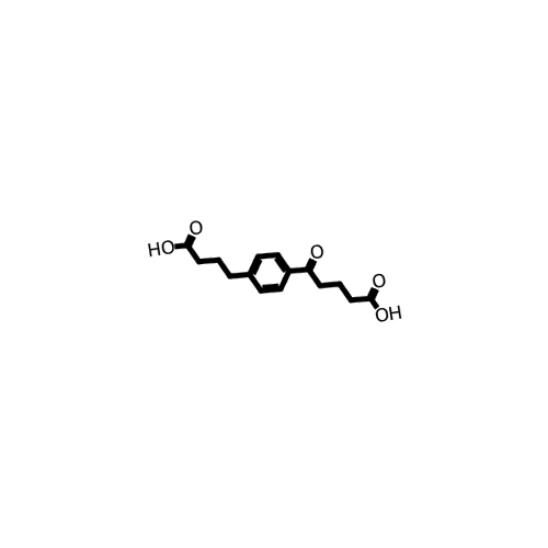 O=C(O)CCCC(=O)c1ccc(CCCC(=O)O)cc1